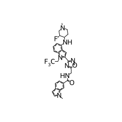 CN1CC[C@@H](Nc2cccc3c2cc(-c2noc(CNC(=O)c4ccc5ccn(C)c5c4)n2)n3CC(F)(F)F)[C@@H](F)C1